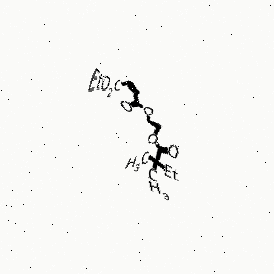 CCOC(=O)/C=C\C(=O)OCCOC(=O)C(C)(C)CC